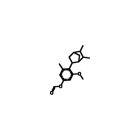 COc1cc(OC=O)cc(C)c1C1CC2CC1C(C)C2C